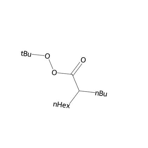 CCCCCCC(CCCC)C(=O)OOC(C)(C)C